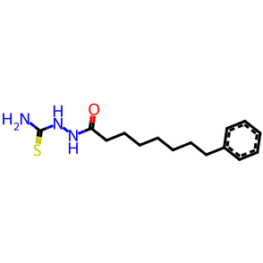 NC(=S)NNC(=O)CCCCCCCc1ccccc1